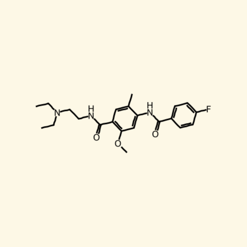 CCN(CC)CCNC(=O)c1cc(C)c(NC(=O)c2ccc(F)cc2)cc1OC